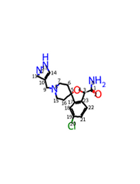 NC(=O)[C@@H]1OC2(CCN(Cc3cn[nH]c3)CC2)c2cc(Cl)ccc21